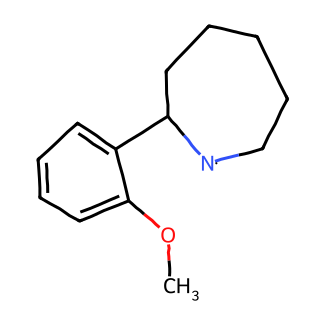 COc1ccccc1C1CCCCC[N]1